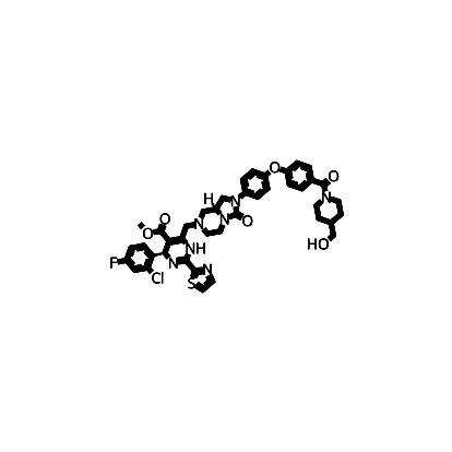 COC(=O)C1=C(CN2CCN3C(=O)N(c4ccc(Oc5ccc(C(=O)N6CCC(CO)CC6)cc5)cc4)C[C@@H]3C2)NC(c2nccs2)=N[C@H]1c1ccc(F)cc1Cl